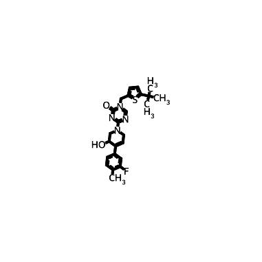 Cc1ccc(C2=CCN(c3ncn(Cc4ccc(C(C)(C)C)s4)c(=O)n3)CC2O)cc1F